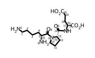 NCCCC[C@H](N)C(=O)N1CCC[C@H]1C(=O)N[C@@H](CCC(=O)O)C(=O)O